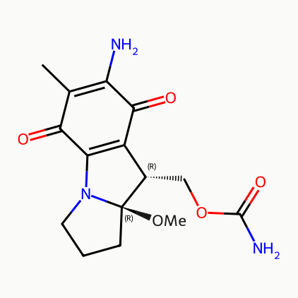 CO[C@@]12CCCN1C1=C(C(=O)C(N)=C(C)C1=O)[C@@H]2COC(N)=O